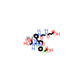 Cc1ccc(NC(=O)CCNC(=O)CCC(=O)O)cc1-c1nc(NC(CO)CO)nc2c1ccc(=O)n2-c1c(F)cccc1F.O=C(O)C(F)(F)F